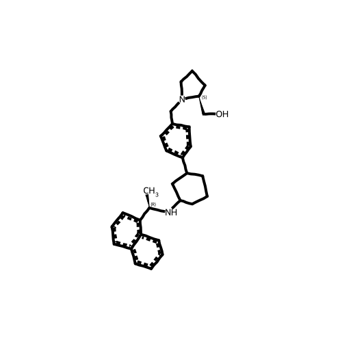 C[C@@H](NC1CCCC(c2ccc(CN3CCC[C@H]3CO)cc2)C1)c1cccc2ccccc12